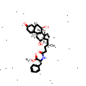 COC(=O)[C@H](Cc1ccccc1)NC(=O)CC[C@@H](C)[C@H]1CC[C@H]2[C@@H]3[C@H](O)C[C@@H]4CC(=O)CC[C@]4(C)[C@H]3C[C@H](O)[C@]12C